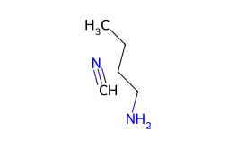 C#N.CCCCN